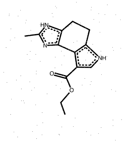 CCOC(=O)c1c[nH]c2c1-c1nc(C)[nH]c1CC2